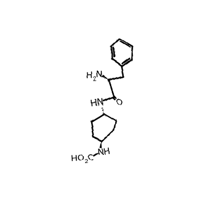 N[C@@H](Cc1ccccc1)C(=O)N[C@H]1CC[C@H](NC(=O)O)CC1